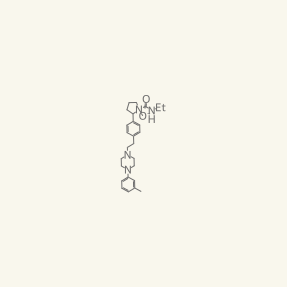 CCNC(=O)[N+]1([O-])CCCC1c1ccc(CCN2CCN(c3cccc(C)c3)CC2)cc1